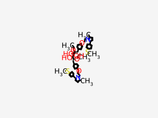 CCO[C@@H](Cc1ccc(OCCn2c(C)ccc2-c2ccc(SC)cc2)cc1)C(O)C(O)(O)[C@H](Cc1ccc(OCCn2c(C)ccc2-c2ccc(SC)cc2)cc1)OCC